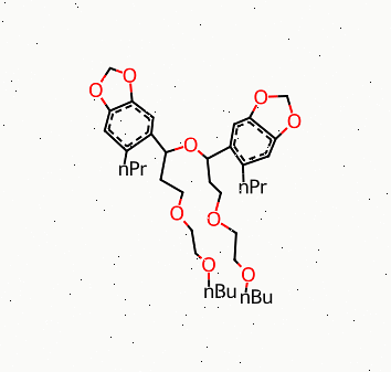 CCCCOCCOCCC(OC(CCOCCOCCCC)c1cc2c(cc1CCC)OCO2)c1cc2c(cc1CCC)OCO2